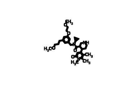 COCCCc1cc(CN(C(=O)C2CNCCC2c2cc(=O)n(C)c(C)c2C)C2CC2)cc(OCCOC)c1